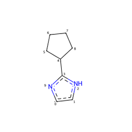 [c]1c[nH]c(C2CCCC2)n1